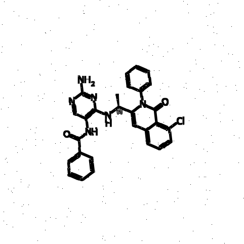 C[C@H](Nc1nc(N)ncc1NC(=O)c1ccccc1)c1cc2cccc(Cl)c2c(=O)n1-c1ccccc1